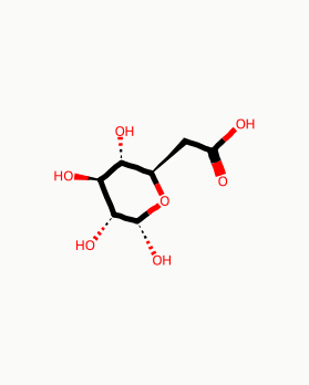 O=C(O)C[C@H]1O[C@H](O)[C@H](O)[C@@H](O)[C@@H]1O